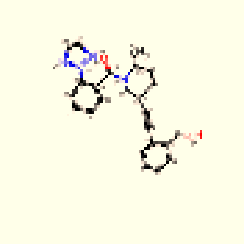 C[C@@H]1CC[C@@H](C#Cc2ccccc2CO)CN1C(=O)c1ccccc1-n1nccn1